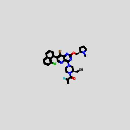 C=C(F)C(=O)N1CCN(c2nc(OC[C@@H]3CCCN3C)nc3c(Br)c(-c4cccc5cccc(Cl)c45)cnc23)C[C@@H]1CC#N